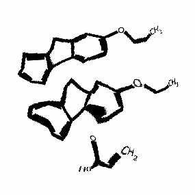 C=CC(=O)O.CCOc1ccc2c(c1)Cc1ccccc1-2.CCOc1ccc2c(c1)Cc1ccccc1-2